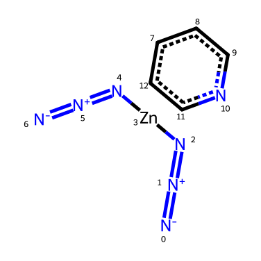 [N-]=[N+]=[N][Zn][N]=[N+]=[N-].c1ccncc1